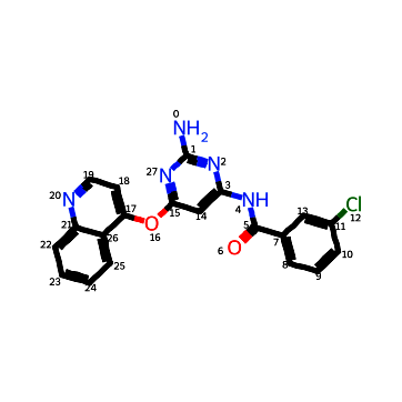 Nc1nc(NC(=O)c2cccc(Cl)c2)cc(Oc2ccnc3ccccc23)n1